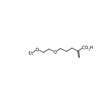 C=C(CCCOCCOCC)C(=O)O